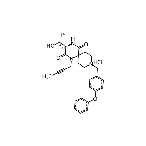 CC#CCN1C(=O)[C@@H]([C@H](O)C(C)C)NC(=O)C12CCN(Cc1ccc(Oc3ccccc3)cc1)CC2.Cl